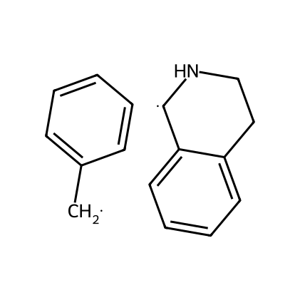 [CH2]c1ccccc1.[CH]1NCCc2ccccc21